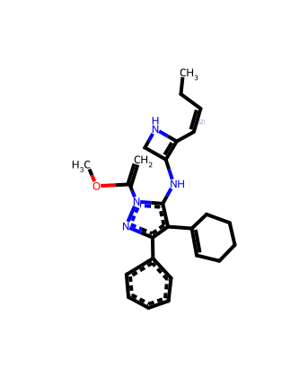 C=C(OC)n1nc(-c2ccccc2)c(C2=CCCCC2)c1NC1=C(/C=C\CC)NC1